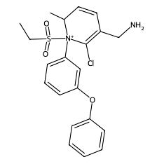 CCS(=O)(=O)[N+]1(c2cccc(Oc3ccccc3)c2)C(Cl)=C(CN)C=CC1C